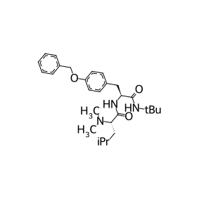 CC(C)C[C@@H](C(=O)N[C@@H](Cc1ccc(OCc2ccccc2)cc1)C(=O)NC(C)(C)C)N(C)C